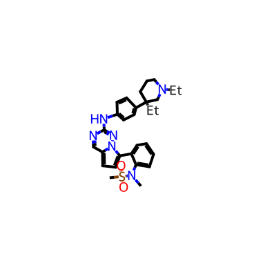 CCN1CCCC(CC)(c2ccc(Nc3ncc4ccc(-c5ccccc5N(C)S(C)(=O)=O)n4n3)cc2)C1